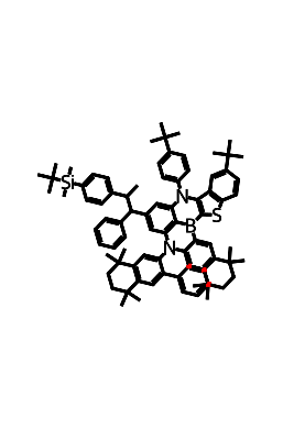 CC(c1ccc([Si](C)(C)C(C)(C)C)cc1)C(c1ccccc1)c1cc2c3c(c1)N(c1ccc(C(C)(C)C)cc1)c1c(sc4ccc(C(C)(C)C)cc14)B3c1cc3c(cc1N2c1cc2c(cc1-c1ccccc1)C(C)(C)CCC2(C)C)C(C)(C)CCC3(C)C